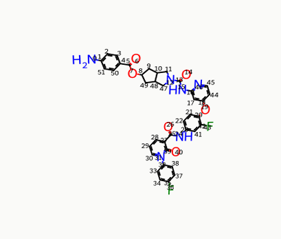 Nc1ccc(C(=O)OC2CC3CN(C(=O)Nc4cc(Oc5ccc(NC(=O)c6cccn(-c7ccc(F)cc7)c6=O)cc5F)ccn4)CC3C2)cc1